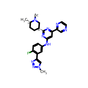 CC(=O)N1C[C@H](c2nc(Nc3ccc(F)c(-c4cn(C)nn4)c3)cc(-c3cnccn3)n2)CC[C@@H]1C